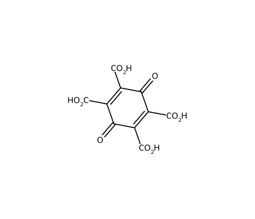 O=C(O)C1=C(C(=O)O)C(=O)C(C(=O)O)=C(C(=O)O)C1=O